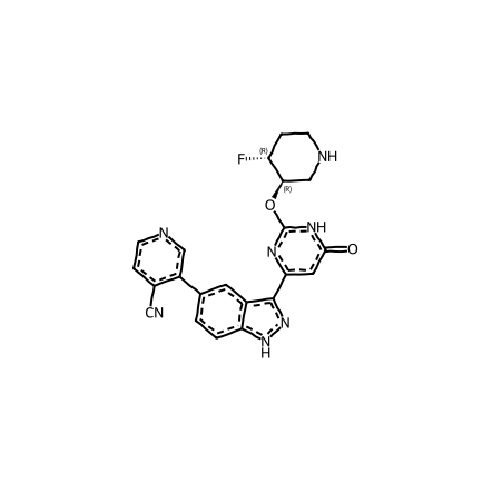 N#Cc1ccncc1-c1ccc2[nH]nc(-c3cc(=O)[nH]c(O[C@@H]4CNCC[C@H]4F)n3)c2c1